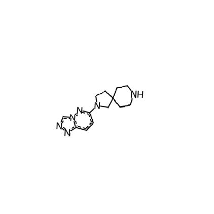 c1cc2nncn2nc1N1CCC2(CCNCC2)C1